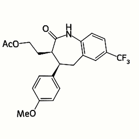 COc1ccc([C@@H]2Cc3cc(C(F)(F)F)ccc3NC(=O)[C@@H]2CCOC(C)=O)cc1